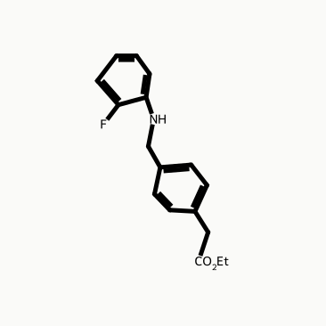 CCOC(=O)Cc1ccc(CNc2ccccc2F)cc1